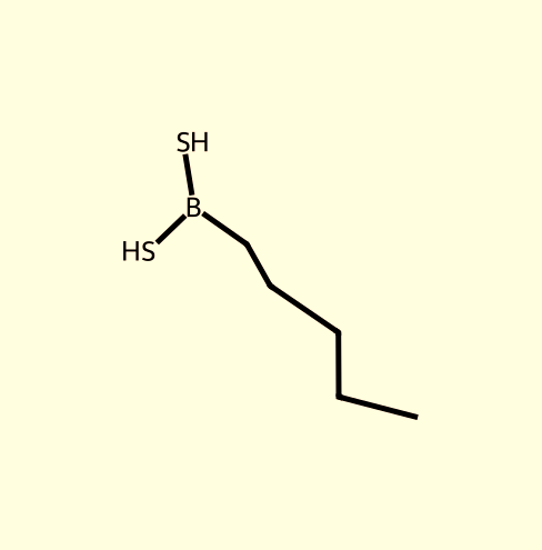 CCCCCB(S)S